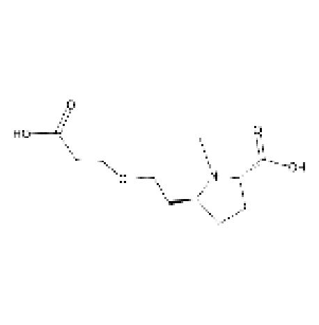 CN1[C@H](CCOCCC(=O)O)CC[C@H]1C(=O)O